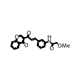 COCC(=O)Nc1cccc(/C=C/C(=O)c2coc3ccccc3c2=O)c1